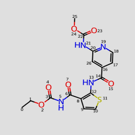 CCOC(=O)NC(=O)c1ccsc1NC(=O)c1ccnc(NC(=O)OC)c1